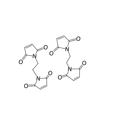 O=C1C=CC(=O)N1CCN1C(=O)C=CC1=O.O=C1C=CC(=O)N1CCN1C(=O)C=CC1=O